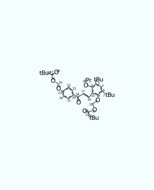 CC(C)Oc1c(C(C)(C)C)cc(C(C)(C)C)c(OCOC(=O)C(C)(C)C)c1C=CC(=O)c1ccc(OCOC(=O)C(C)(C)C)cc1